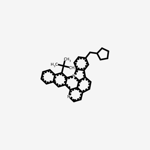 CC(C)(C)c1c2ccccc2cc2c3nccc4ccc5c6cc(CC7CCCC7)ccc6n(c12)c5c43